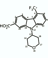 O=C(O)c1ccc2c3c(C(F)(F)F)cccc3n(C3CCOCC3)c2c1